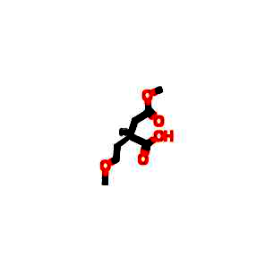 COCC[C@@H](CC(=O)OC)C(=O)O